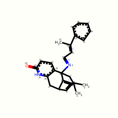 C/C=C1\C2C=C(C)CC1(/N=C/C=C(\C)c1ccccc1)c1ccc(=O)[nH]c1C2